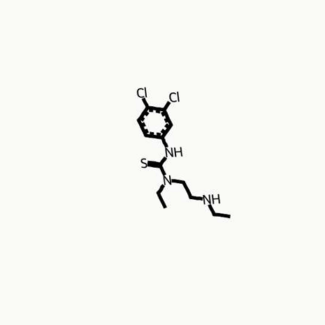 CCNCCN(CC)C(=S)Nc1ccc(Cl)c(Cl)c1